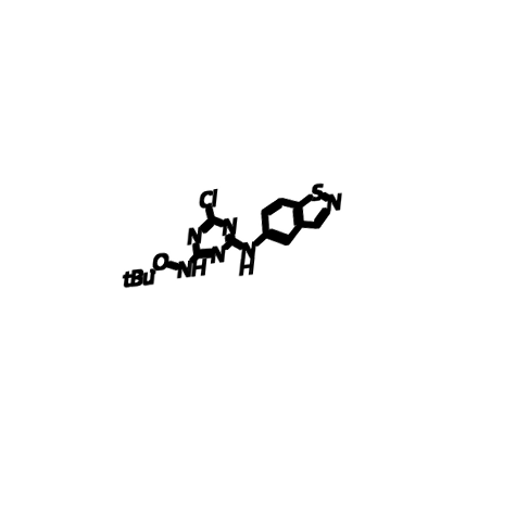 CC(C)(C)ONc1nc(Cl)nc(Nc2ccc3sncc3c2)n1